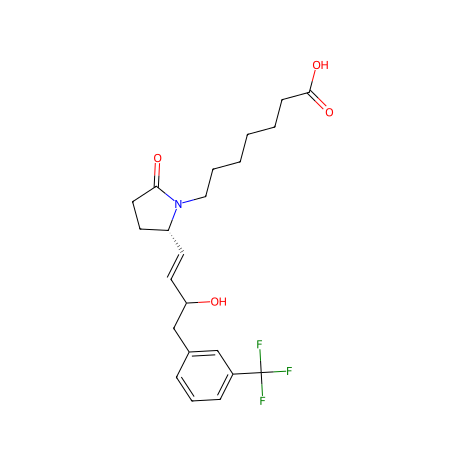 O=C(O)CCCCCCN1C(=O)CC[C@H]1/C=C/C(O)Cc1cccc(C(F)(F)F)c1